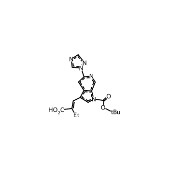 CC/C(=C\c1cn(C(=O)OC(C)(C)C)c2cnc(-n3cncn3)cc12)C(=O)O